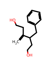 C=C(CCO)[C](CCO)Cc1ccccc1